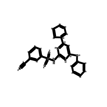 N#Cc1cccc(S(=O)(=O)Nc2nc(Oc3ccccc3)cc(-c3ccccc3)n2)c1